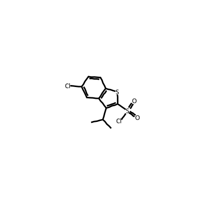 CC(C)c1c(S(=O)(=O)Cl)sc2ccc(Cl)cc12